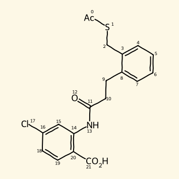 CC(=O)SCc1ccccc1CCC(=O)Nc1cc(Cl)ccc1C(=O)O